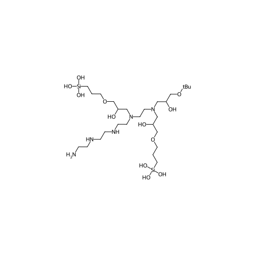 CC(C)(C)OCC(O)CN(CCN(CCNCCNCCN)CC(O)COCCC[Si](O)(O)O)CC(O)COCCC[Si](O)(O)O